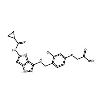 CNC(=O)COc1ccc(CNc2n[nH]c3nc(NC(=O)C4CC4)sc23)c(Cl)c1